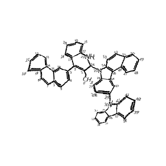 CC1=C(c2ccc3ccc4ccccc4c3c2)c2ccccc2NC1n1c2ccc(-n3c4ccccc4c4ccccc43)cc2c2c3ccccc3ccc21